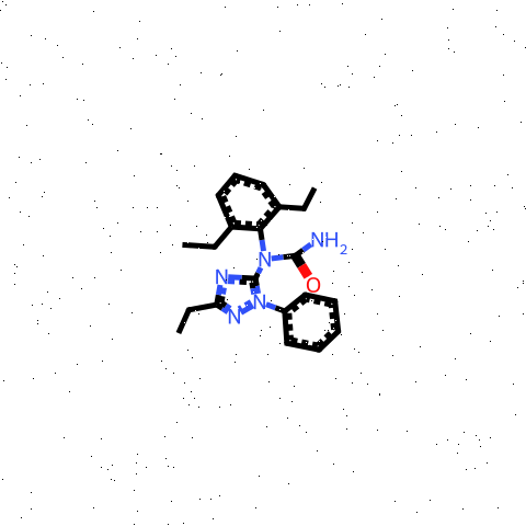 CCc1nc(N(C(N)=O)c2c(CC)cccc2CC)n(-c2ccccc2)n1